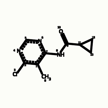 Cc1c(Cl)ncnc1NC(=O)C1CC1